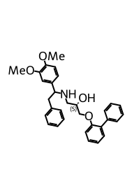 COc1ccc(C(Cc2ccccc2)NC[C@H](O)COc2ccccc2-c2ccccc2)cc1OC